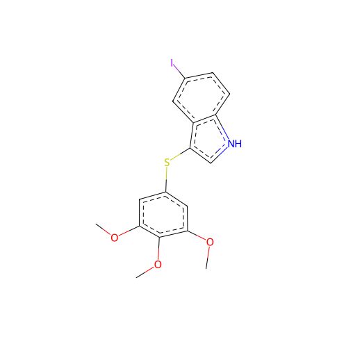 COc1cc(Sc2c[nH]c3ccc(I)cc23)cc(OC)c1OC